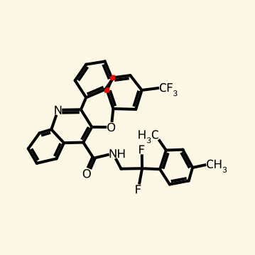 Cc1ccc(C(F)(F)CNC(=O)c2c(Oc3cccc(C(F)(F)F)c3)c(-c3ccccc3)nc3ccccc23)c(C)c1